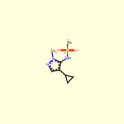 Cn1ncc(C2CC2)c1NS(=O)(=O)C(C)(C)C